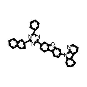 c1ccc(-c2nc(-c3ccc4ccccc4c3)nc(-c3ccc4c(c3)oc3cc(-n5c6ccccc6c6cccnc65)ccc34)n2)cc1